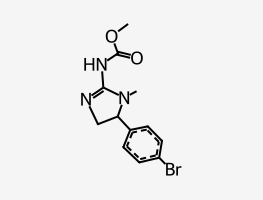 COC(=O)NC1=NCC(c2ccc(Br)cc2)N1C